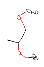 CCC(C)OC(C)CO[C]=O